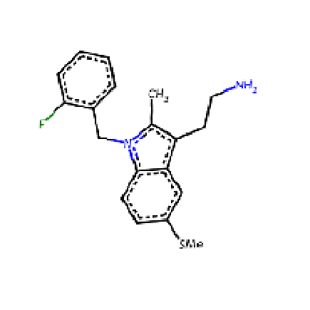 CSc1ccc2c(c1)c(CCN)c(C)n2Cc1ccccc1F